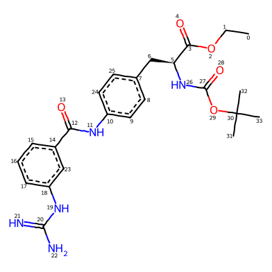 CCOC(=O)[C@H](Cc1ccc(NC(=O)c2cccc(NC(=N)N)c2)cc1)NC(=O)OC(C)(C)C